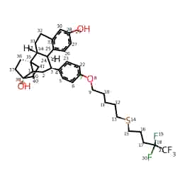 C[C@]12C[C@H](c3ccc(OCCCCCSCCCC(F)(F)C(F)(F)F)cc3)[C@@H]3c4ccc(O)cc4CC[C@H]3[C@]13CC[C@]2(O)CC3